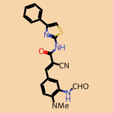 CNc1ccc(/C=C(\C#N)C(=O)Nc2nc(-c3ccccc3)cs2)cc1NC=O